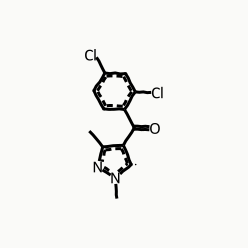 Cc1nn(C)[c]c1C(=O)c1ccc(Cl)cc1Cl